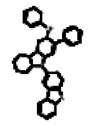 C1=CCCC(NC2CC3C4CCCCC4N(C4=CC5=C(CC4)OC4C=CC=CC54)C3C=C2c2ccccc2)=C1